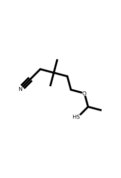 CC(S)OCCC(C)(C)CC#N